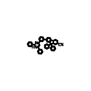 N#CC1=CC2C(C=C1)c1ccc(-c3cccc(C4=NC(c5ccccc5)NC(c5ccccc5)=C4)c3)cc1C2(c1ccccc1)c1ccccc1